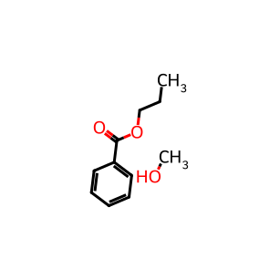 CCCOC(=O)c1ccccc1.CO